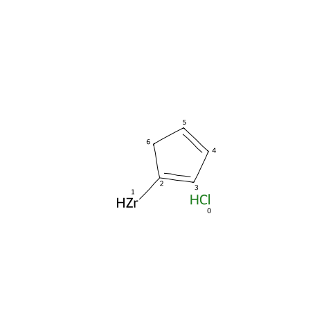 Cl.[ZrH][C]1=CC=CC1